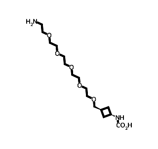 NCCOCCOCCOCCOCCOC[C@H]1C[C@H](NC(=O)O)C1